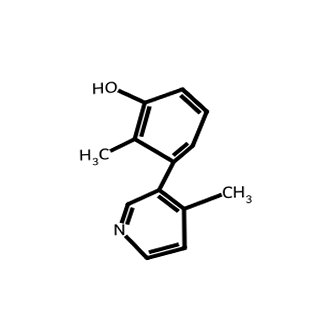 Cc1ccncc1-c1cccc(O)c1C